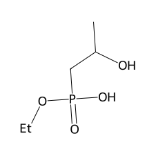 CCOP(=O)(O)CC(C)O